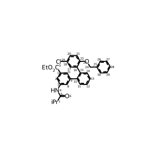 CCOC(=O)c1cc(NC(=O)C(C)C)cc(-c2ccccc2-c2cc(Cl)ccc2OCc2ccccc2)c1